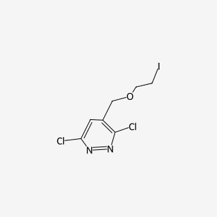 Clc1cc(COCCI)c(Cl)nn1